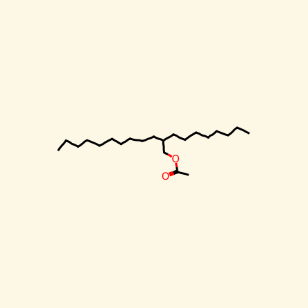 CCCCCCCCCCC(CCCCCCCC)COC(C)=O